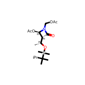 CC(=O)OCN1C(=O)[C@H]([C@@H](C)O[Si](C)(C)C(C)(C)C(C)C)[C@H]1OC(C)=O